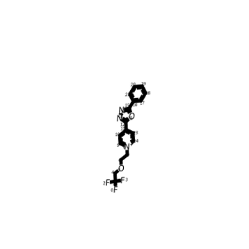 FC(F)(F)COCC[n+]1ccc(-c2nnc(-c3ccccc3)o2)cc1